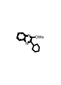 COc1nc2ccccc2nc1C1CCCCC1